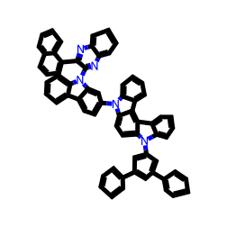 c1ccc(-c2cc(-c3ccccc3)cc(-n3c4ccccc4c4c5c6ccccc6n(-c6ccc7c8ccccc8n(-c8nc9ccccc9nc8-c8cccc9ccccc89)c7c6)c5ccc43)c2)cc1